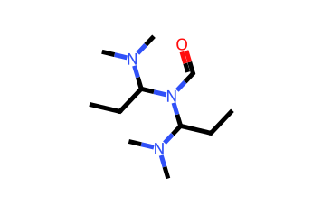 CCC(N(C)C)N(C=O)C(CC)N(C)C